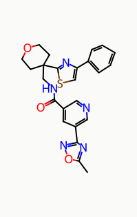 Cc1nc(-c2cncc(C(=O)NCC3(c4nc(-c5ccccc5)cs4)CCOCC3)c2)no1